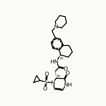 O=C(C[C@@H]1C(=O)NC=CN1S(=O)(=O)C1CC1)N[C@@H]1CCCc2cc(CN3CCCCC3)ccc21